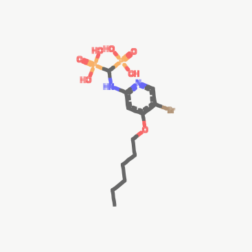 CCCCCCOc1cc(NC(P(=O)(O)O)P(=O)(O)O)ncc1Br